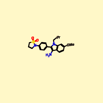 COc1ccc2c(N)c(-c3ccc(N4CCCS4(=O)=O)cc3)n(CC(C)C)c2c1